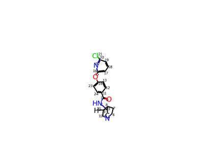 O=C(N[C@H]1CN2CCC1CC2)c1ccc(Oc2cccc(Cl)n2)cc1